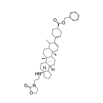 CC1C(C2=CC[C@H](C(=O)OCc3ccccc3)CC2)=CC[C@@]2(C)C1CC[C@]1(C)C2CC[C@@H]2[C@H]3CCC[C@]3(NCCN3CCOC3=O)CC[C@]21C